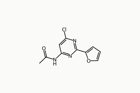 CC(=O)Nc1cc(Cl)nc(-c2ccco2)n1